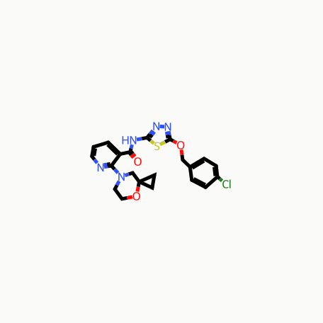 O=C(Nc1nnc(OCc2ccc(Cl)cc2)s1)c1cccnc1N1CCOC2(CC2)C1